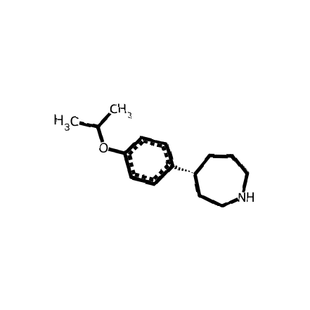 CC(C)Oc1ccc([C@@H]2CCCNCC2)cc1